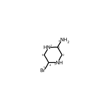 NC1CNC(Br)CN1